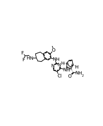 COc1cc2c(cc1Nc1ncc(Cl)c(N[C@H]3[C@@H](C(N)=O)[C@@H]4C=C[C@H]3C4)n1)CCC(NCC(F)F)CC2